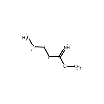 COC(=N)CCSC